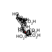 Cc1cn(Cc2c(Cl)cccc2OCCO)c(=O)c(NC(=O)N[C@@H](CC(=O)O)c2cccc(OCCO)c2)c1OCCOCCOCCNC(=S)Nc1ccc(CC2CN(CC(=O)O)CCN(CC(=O)O)CCN(CC(=O)O)CCN2CC(=O)O)cc1